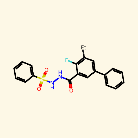 CCc1cc(-c2ccccc2)cc(C(=O)NNS(=O)(=O)c2ccccc2)c1F